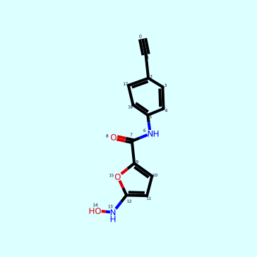 C#Cc1ccc(NC(=O)c2ccc(NO)o2)cc1